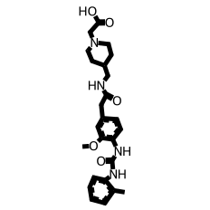 COc1cc(CC(=O)NCC2CCN(CC(=O)O)CC2)ccc1NC(=O)Nc1ccccc1C